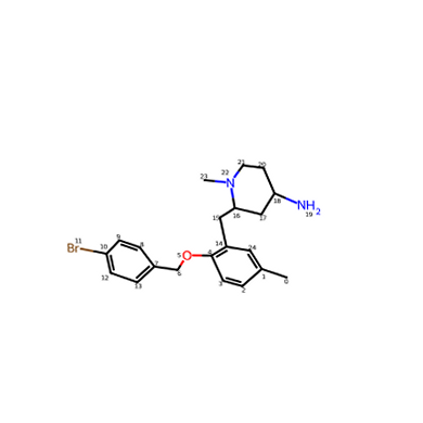 Cc1ccc(OCc2ccc(Br)cc2)c(CC2CC(N)CCN2C)c1